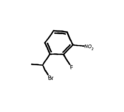 CC(Br)c1cccc([N+](=O)[O-])c1F